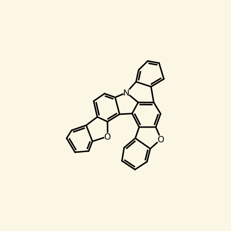 c1ccc2c(c1)oc1c2ccc2c1c1c3c(cc4c5ccccc5n2c41)oc1ccccc13